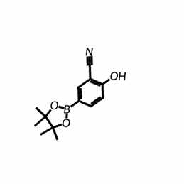 CC1(C)OB(c2ccc(O)c(C#N)c2)OC1(C)C